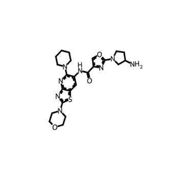 NC1CCN(c2nc(C(=O)Nc3cc4sc(N5CCOCC5)nc4nc3N3CCCCC3)co2)C1